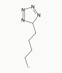 [CH2]CCCCC1N=NN=N1